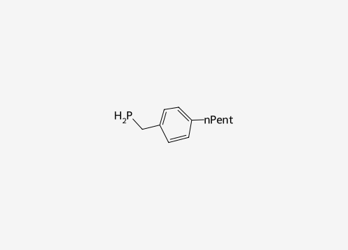 CCCCCc1ccc(CP)cc1